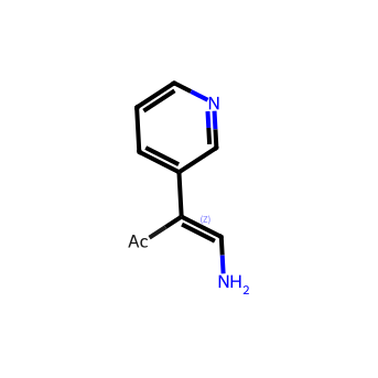 CC(=O)/C(=C\N)c1cccnc1